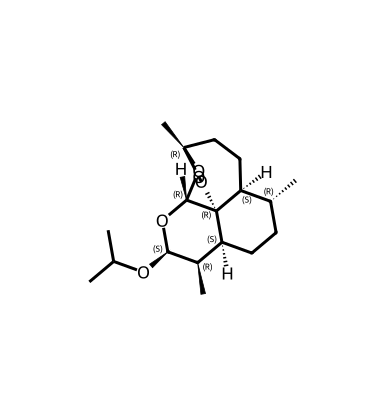 CC(C)O[C@H]1O[C@@H]2O[C@@]3(C)CC[C@H]4[C@H](C)CC[C@@H]([C@H]1C)[C@@]24OO3